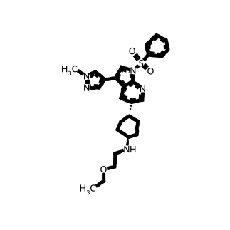 CCOCCN[C@H]1CC[C@H](c2cnc3c(c2)c(-c2cnn(C)c2)cn3S(=O)(=O)c2ccccc2)CC1